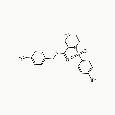 CC(C)c1ccc(S(=O)(=O)N2CCNCC2C(=O)NCc2ccc(C(F)(F)F)cc2)cc1